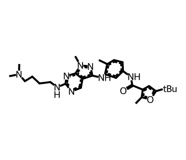 Cc1ccc(NC(=O)c2cc(C(C)(C)C)oc2C)cc1Nc1nn(C)c2nc(NCCCCN(C)C)ncc12